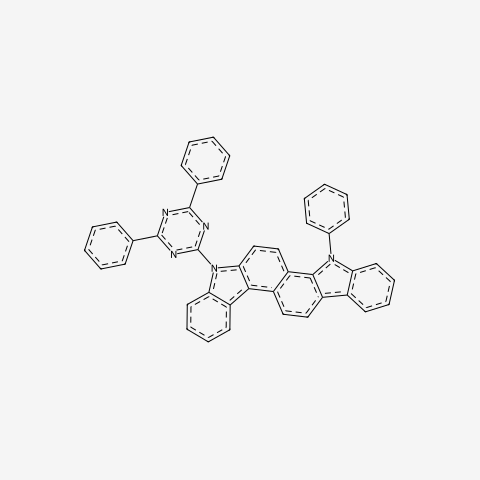 c1ccc(-c2nc(-c3ccccc3)nc(-n3c4ccccc4c4c5ccc6c7ccccc7n(-c7ccccc7)c6c5ccc43)n2)cc1